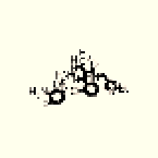 CCn1cc(CNC(=O)C2=C(C)NC(Nc3nc4ccc(F)c(N)c4o3)=NC2c2ccccc2Cl)cn1